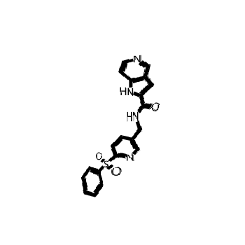 O=C(NCc1ccc(S(=O)(=O)c2ccccc2)nc1)c1cc2cnccc2[nH]1